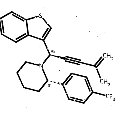 C=C(C)C#C[C@H](c1csc2ccccc12)N1CC[CH]C[C@H]1c1ccc(C(F)(F)F)cc1